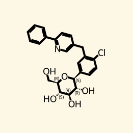 OC[C@H]1O[C@@H](c2ccc(Cl)c(Cc3ccc(-c4ccccc4)nc3)c2)[C@H](O)[C@@H](O)[C@@H]1O